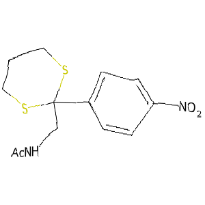 CC(=O)NCC1(c2ccc([N+](=O)[O-])cc2)SCCCS1